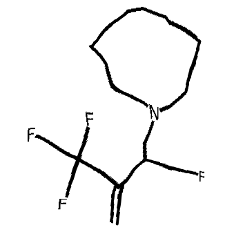 C=C(C(F)N1CCCCCC1)C(F)(F)F